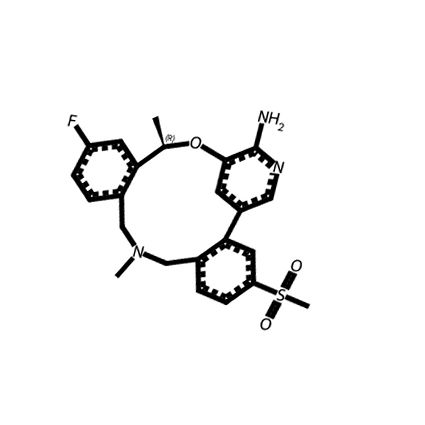 C[C@H]1Oc2cc(cnc2N)-c2cc(S(C)(=O)=O)ccc2CN(C)Cc2ccc(F)cc21